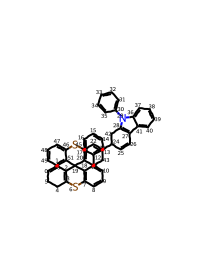 C1=CC2=C(CC1)Sc1cccc(-c3ccccc3)c1C21C2=C(C=C(C3C=Cc4c(n(-c5ccccc5)c5ccccc45)C3)CC2)Sc2ccccc21